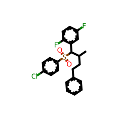 CC(CCc1ccccc1)C(c1cc(F)ccc1F)S(=O)(=O)c1ccc(Cl)cc1